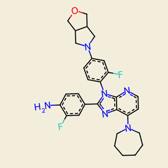 Nc1ccc(-c2nc3c(N4CCCCCC4)ccnc3n2-c2ccc(N3CC4COCC4C3)cc2F)cc1F